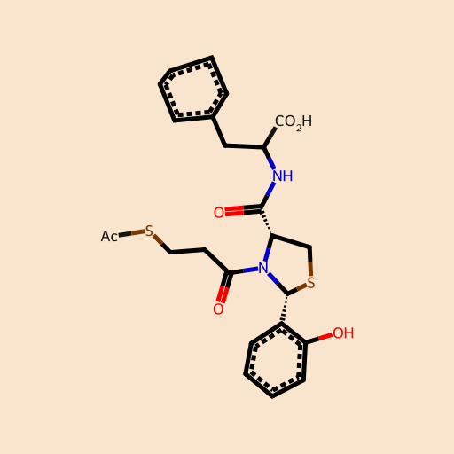 CC(=O)SCCC(=O)N1[C@@H](c2ccccc2O)SC[C@H]1C(=O)NC(Cc1ccccc1)C(=O)O